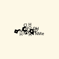 CNC(=O)[C@@]12C[C@@H]1[C@@H](n1cnc3c(NCC4CCC4)cc(Cl)nc31)[C@H](O)[C@@H]2O